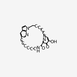 O=C1NCCCCCCc2cnc3c(ccn3CCCCCn3cc(O)c(=O)c1n3)c2